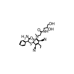 CCc1c(C#N)c(SC(C(N)=O)c2ccccc2)nc(N(C)CC(=O)NCC(O)CO)c1C#N